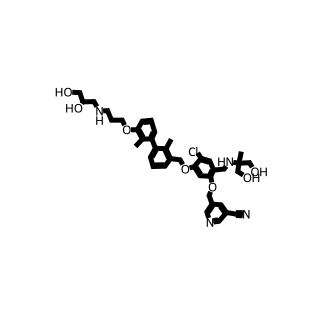 Cc1c(COc2cc(OCc3cncc(C#N)c3)c(CNC(C)(CO)CO)cc2Cl)cccc1-c1cccc(OCCCNCC(O)CO)c1C